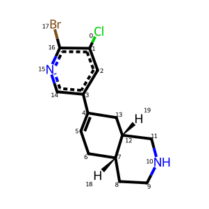 Clc1cc(C2=CC[C@H]3CCNC[C@H]3C2)cnc1Br